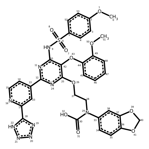 COc1ccc(S(=O)(=O)Nc2nc(-c3ccnc(-c4nnn[nH]4)c3)nc(OCCN(C(=O)O)c3ccc4c(c3)OCO4)c2Oc2ccccc2OC)cc1